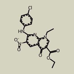 CCOC(=O)c1cn(CC)c2nc(Nc3ccc(Cl)cc3)c([N+](=O)[O-])cc2c1=O